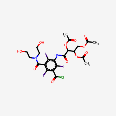 CC(=O)OCC(OC(C)=O)C(OC(C)=O)C(=O)Nc1c(I)c(C(=O)Cl)c(I)c(C(=O)N(CCO)CCO)c1I